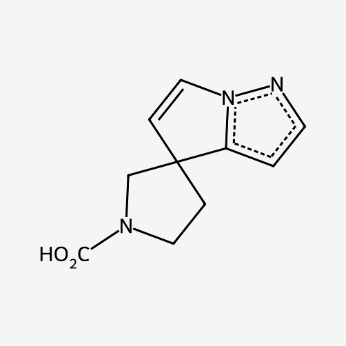 O=C(O)N1CCC2(C=Cn3nccc32)C1